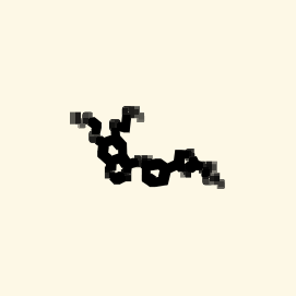 CCOc1cc2ncnc(Nc3cccc(-c4csc(NC)n4)c3)c2cc1OCC